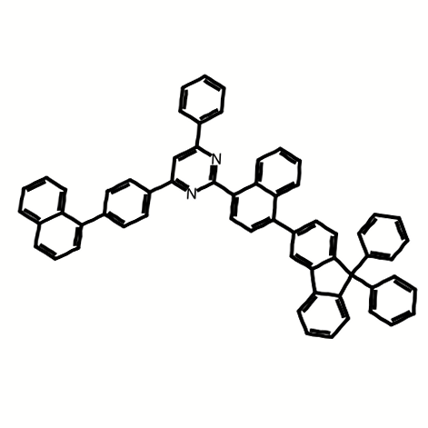 c1ccc(-c2cc(-c3ccc(-c4cccc5ccccc45)cc3)nc(-c3ccc(-c4ccc5c(c4)-c4ccccc4C5(c4ccccc4)c4ccccc4)c4ccccc34)n2)cc1